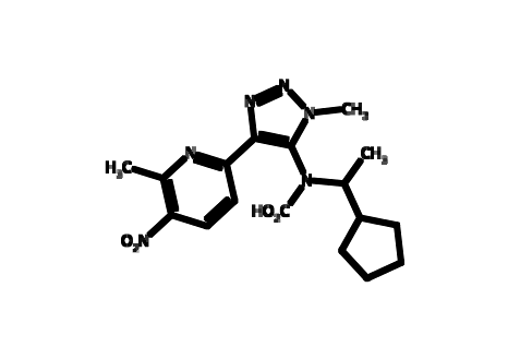 Cc1nc(-c2nnn(C)c2N(C(=O)O)C(C)C2CCCC2)ccc1[N+](=O)[O-]